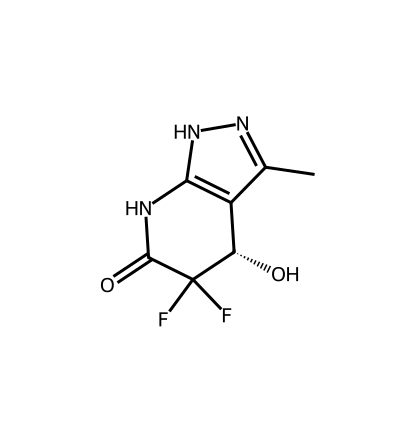 Cc1n[nH]c2c1[C@H](O)C(F)(F)C(=O)N2